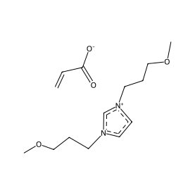 C=CC(=O)[O-].COCCCn1cc[n+](CCCOC)c1